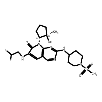 C[C@@]1(O)CCC[C@H]1n1c(=O)c(NCC(F)F)cc2cnc(NC3CCN(S(C)(=O)=O)CC3)nc21